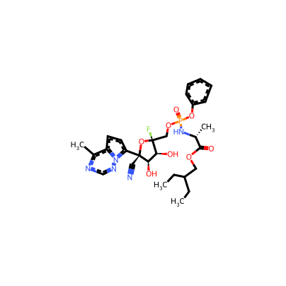 CCC(CC)COC(=O)[C@@H](C)NP(=O)(OC[C@@]1(F)O[C@@](C#N)(c2ccc3c(C)ncnn23)[C@H](O)[C@@H]1O)Oc1ccccc1